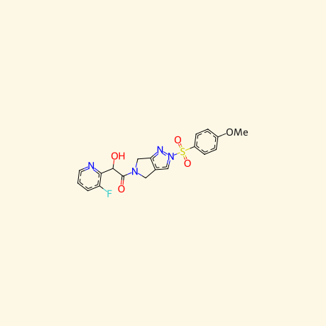 COc1ccc(S(=O)(=O)n2cc3c(n2)CN(C(=O)C(O)c2ncccc2F)C3)cc1